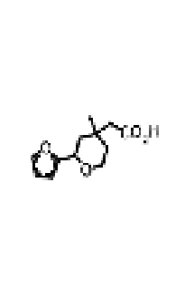 CC1(CC(=O)O)CCOC(c2ccco2)C1